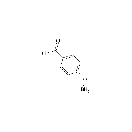 BOc1ccc(C(=O)Cl)cc1